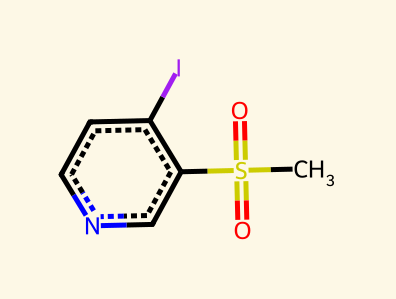 CS(=O)(=O)c1cnccc1I